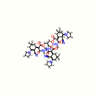 CNC(=O)/C(C(=O)OCC(COC(=O)/C(C(=O)NC)=C1\CC(C)(C)CC(N2CCCC2)=C1C#N)COC(=O)/C(C(=O)NC)=C1\CC(C)(C)CC(N2CCCC2)=C1C#N)=C1/CC(C)(C)CC(N2CCCC2)=C1C#N